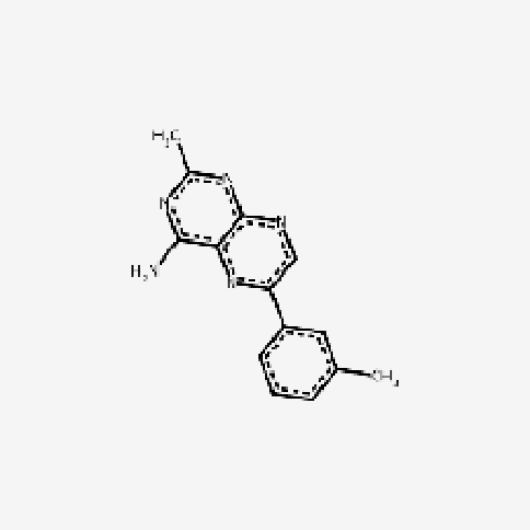 Cc1cccc(-c2cnc3nc(C)nc(N)c3n2)c1